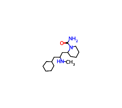 CNC(CC1CCCCC1)CC1CCCCN1C(N)=O